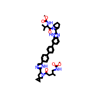 COC(=O)NCC(C)CC(=O)N1CC2(CC2)CC1c1ncc(-c2ccc(-c3ccc(-c4ccc5nc(C6C7CCC(C7)N6C(=O)C(NC(=O)OC)C(C)C)[nH]c5c4)cc3)cc2)[nH]1